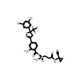 Cc1cc(C2=NOC(c3cc(Cl)cc(Cl)c3)(C(F)(F)F)C2)ccc1C(=O)N=S(C)(=O)CCC(=O)NC1(C#N)CC1